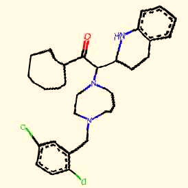 O=C(C1CCCCC1)C(C1CCc2ccccc2N1)N1CCN(Cc2cc(Cl)ccc2Cl)CC1